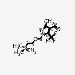 Cc1nn(COCC[Si](C)(C)C)c(C(F)(F)F)c1C=O